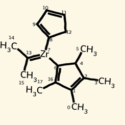 CC1=C(C)C(C)[C]([Zr]([C]2=CC=CC2)=[C](C)C)=C1C